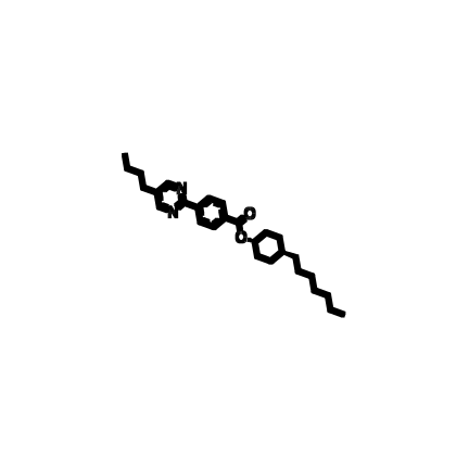 CCCCCCC[C@H]1CC[C@H](OC(=O)c2ccc(-c3ncc(CCCC)cn3)cc2)CC1